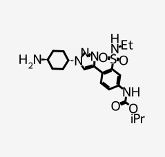 CCNS(=O)(=O)c1cc(NC(=O)OC(C)C)ccc1-c1cn([C@H]2CC[C@H](N)CC2)nn1